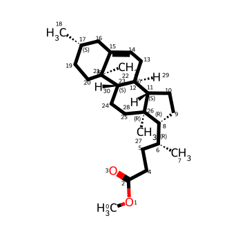 COC(=O)CC[C@@H](C)[C@H]1CC[C@H]2[C@@H]3CC=C4C[C@@H](C)CC[C@]4(C)[C@H]3CC[C@]12C